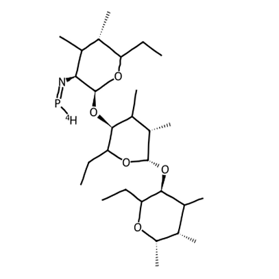 [4H]/P=N\[C@H]1C(C)[C@H](C)C(CC)O[C@H]1O[C@@H]1C(CC)O[C@@H](O[C@@H]2C(CC)O[C@@H](C)[C@@H](C)C2C)[C@@H](C)C1C